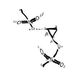 CS(=O)(=O)O[C@@H]1C[C@H]1OS(C)(=O)=O